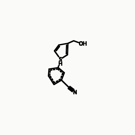 N#Cc1cccc([SH]2C=CC(CO)=C2)c1